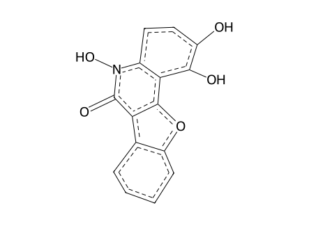 O=c1c2c3ccccc3oc2c2c(O)c(O)ccc2n1O